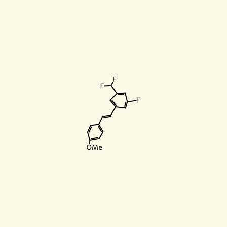 COc1ccc(C=Cc2cc(F)cc(C(F)F)c2)cc1